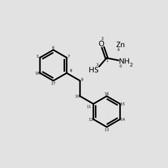 NC(=O)S.[Zn].c1ccc(CCc2ccccc2)cc1